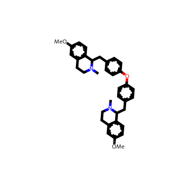 COc1ccc2c(c1)CCN(C)C2Cc1ccc(Oc2ccc(CC3c4ccc(OC)cc4CCN3C)cc2)cc1